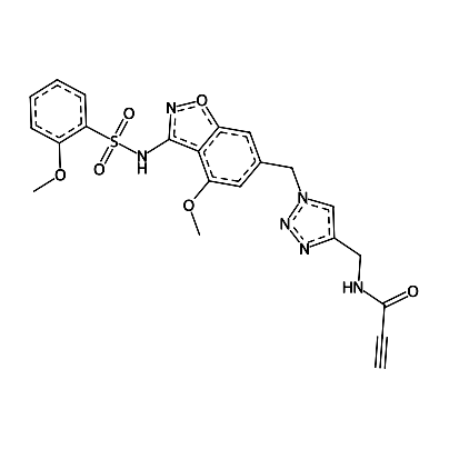 C#CC(=O)NCc1cn(Cc2cc(OC)c3c(NS(=O)(=O)c4ccccc4OC)noc3c2)nn1